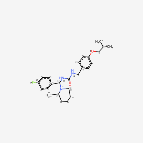 CC(C)COc1ccc(CNC(=O)NC(c2ccc(F)cc2)N2CCCCC2C)cc1